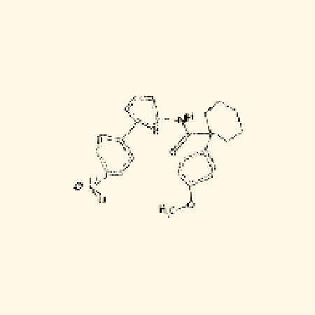 COc1ccc(C2(C(=O)Nc3cccc(-c4ccc([SH](=O)=O)cc4)n3)CCCCC2)cc1